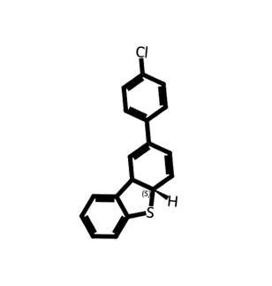 Clc1ccc(C2=CC3c4ccccc4S[C@H]3C=C2)cc1